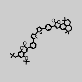 CC(C)(C)Cc1cc(OC(C)(C)C)c2cc(-c3cccc(-c4ccc(-c5ccc(-c6ccc(-c7cc8cc9c%10c(c8oc7=O)C(C)(C)CCC%10CCC9(C)C)cc6)s5)s4)c3)c(=O)oc2c1